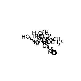 CC(C)C[C@H]1ON(C(=O)/C=C/c2nc3ccccc3s2)[C@H]2CN([C@@H]3CCN(CCCCO)C3)C(=O)[C@H](CC(C)(C)C)N2C1=O